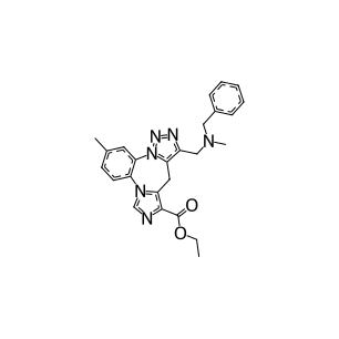 CCOC(=O)c1ncn2c1Cc1c(CN(C)Cc3ccccc3)nnn1-c1cc(C)ccc1-2